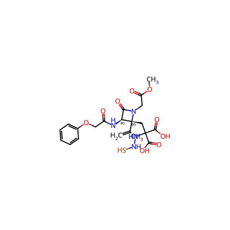 C=C(C)[C@]1(CC(NNS)(C(=O)O)C(=O)O)[C@@H](NC(=O)COc2ccccc2)C(=O)N1CC(=O)OC